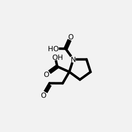 O=CCC1(C(=O)O)CCCN1C(=O)O